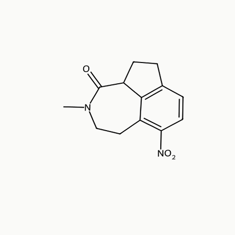 CN1CCc2c([N+](=O)[O-])ccc3c2C(CC3)C1=O